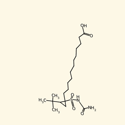 CC(C)(C)C1CC1(CCCCCCCCCCCC(=O)O)S(=O)(=O)NC(N)=O